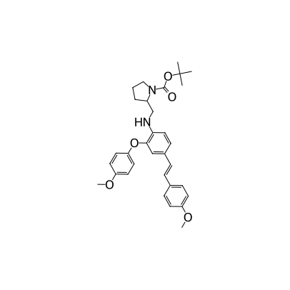 COc1ccc(/C=C/c2ccc(NCC3CCCN3C(=O)OC(C)(C)C)c(Oc3ccc(OC)cc3)c2)cc1